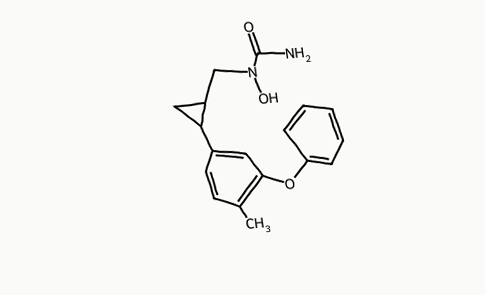 Cc1ccc(C2CC2CN(O)C(N)=O)cc1Oc1ccccc1